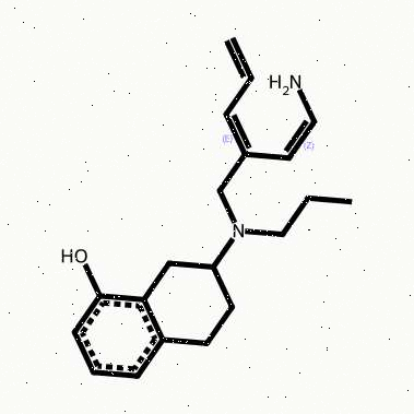 C=C/C=C(\C=C/N)CN(CCC)C1CCc2cccc(O)c2C1